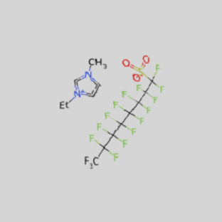 CC[n+]1ccn(C)c1.O=S(=O)([O-])C(F)(F)C(F)(F)C(F)(F)C(F)(F)C(F)(F)C(F)(F)C(F)(F)C(F)(F)F